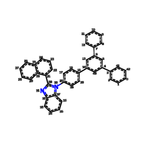 c1ccc(-c2cc(-c3ccccc3)cc(-c3ccc(-n4c(-c5cccc6ccccc56)nc5ccccc54)cc3)c2)cc1